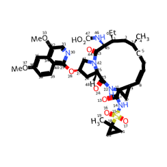 CC[C@@H]1C[C@H](C)CC/C=C\C2CC2(C(=O)NS(=O)(=O)C2(C)CC2)NC(=O)[C@@H]2C[C@@H](Oc3ncc(OC)c4cc(OC)ccc34)CN2C(=O)[C@H]1NC(=O)O